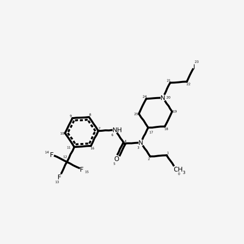 CCCN(C(=O)Nc1cccc(C(F)(F)F)c1)C1CCN(CCI)CC1